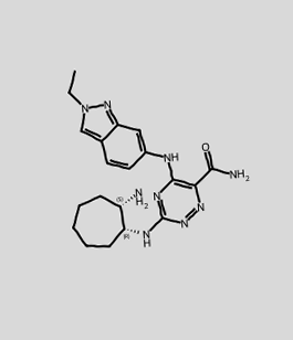 CCn1cc2ccc(Nc3nc(N[C@@H]4CCCCC[C@@H]4N)nnc3C(N)=O)cc2n1